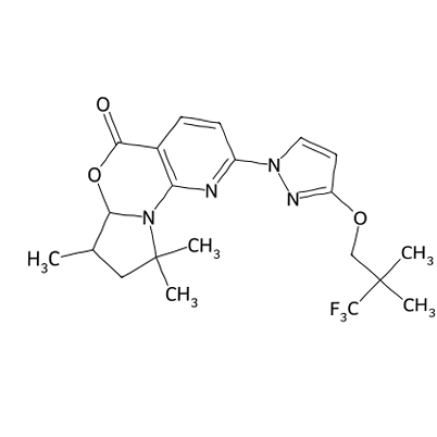 CC1CC(C)(C)N2c3nc(-n4ccc(OCC(C)(C)C(F)(F)F)n4)ccc3C(=O)OC12